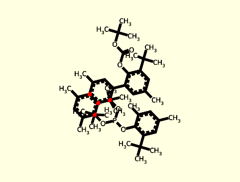 Cc1cc(C)c(OP(Oc2c(C)cc(C)cc2C(C)(C)C)Oc2c(-c3cc(C)cc(C(C)(C)C)c3OC(=O)OC(C)(C)C)cc(C)cc2C(C)(C)C)c(C(C)(C)C)c1